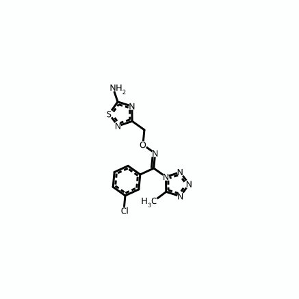 Cc1nnnn1/C(=N/OCc1nsc(N)n1)c1cccc(Cl)c1